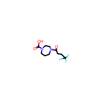 O=C(O)N1CCCN(C(=O)CCC(F)(F)F)CC1